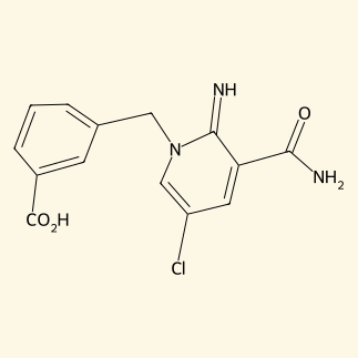 N=c1c(C(N)=O)cc(Cl)cn1Cc1cccc(C(=O)O)c1